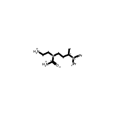 CC(C)N(C(C)C)C(C)CCN(CCN)C(N)=O